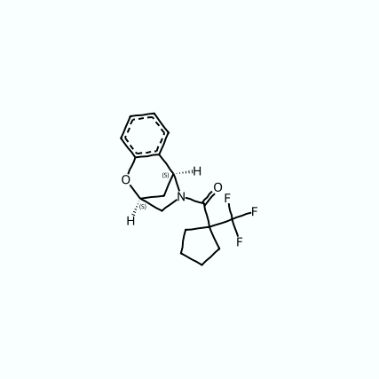 O=C(N1C[C@@H]2C[C@H]1c1ccccc1O2)C1(C(F)(F)F)CCCC1